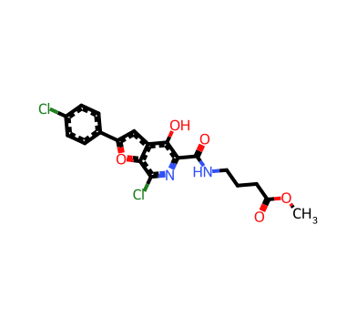 COC(=O)CCCNC(=O)c1nc(Cl)c2oc(-c3ccc(Cl)cc3)cc2c1O